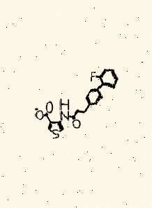 COC(=O)c1cscc1NC(=O)CCc1ccc(-c2ccccc2F)cc1